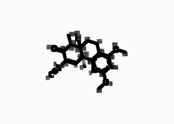 [C-]#[N+]C1=C[C@]2(C)c3nc(OC)nc(OC)c3CC[C@H]2[C@H](C)C1=O